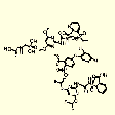 CCS(=O)(=O)c1cccnc1S(=O)(=O)NC(=O)Nc1nc(OC)cc(OC)n1.COC(=O)c1cc(Oc2ccc(Cl)cc2Cl)ccc1[N+](=O)[O-].O=C(Nc1nc(OC(F)F)cc(OC(F)F)n1)NS(=O)(=O)c1ccccc1C(=O)O.O=C(O)CNCP(=O)(O)O